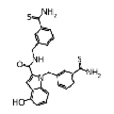 NC(=S)c1cccc(CNC(=O)c2cc3c(O)cccc3n2Cc2cccc(C(N)=S)c2)c1